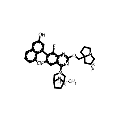 C[C@@]12CCC(CN(c3nc(OCC45CCCN4C[C@H](F)C5)nc4c(F)c(-c5cc(O)cc6cccc(Cl)c56)c(F)cc34)C1)N2